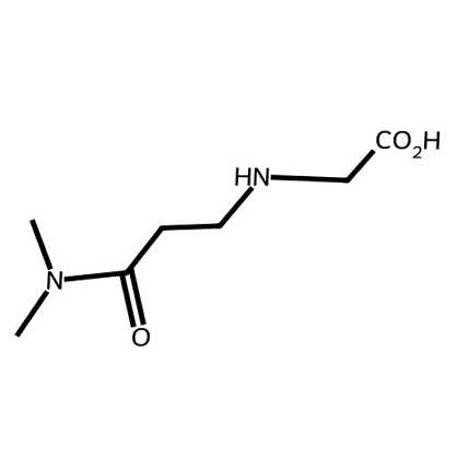 CN(C)C(=O)CCNCC(=O)O